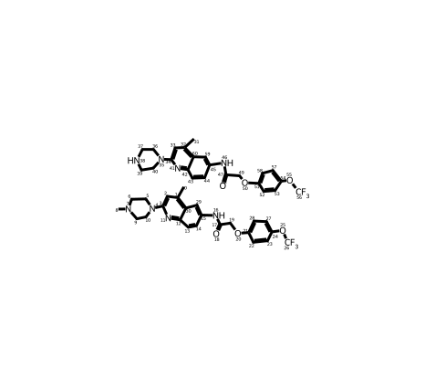 Cc1cc(N2CCN(C)CC2)nc2ccc(NC(=O)COc3ccc(OC(F)(F)F)cc3)cc12.Cc1cc(N2CCNCC2)nc2ccc(NC(=O)COc3ccc(OC(F)(F)F)cc3)cc12